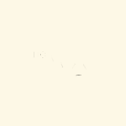 Cc1ccc(C=CC=CO)cc1